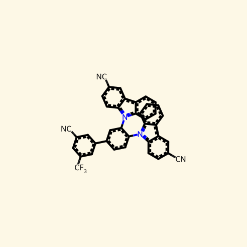 N#Cc1cc(-c2ccc(-n3c4ccccc4c4cc(C#N)ccc43)c(-n3c4ccccc4c4cc(C#N)ccc43)c2)cc(C(F)(F)F)c1